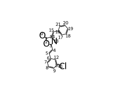 O=C1OC(C=Cc2cccc(Cl)c2)=NC1=Cc1ccccc1